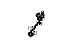 O=C(CCCCNCCc1ccccc1Cl)c1cc2c3c(c1)CCC(=O)N3CCC2